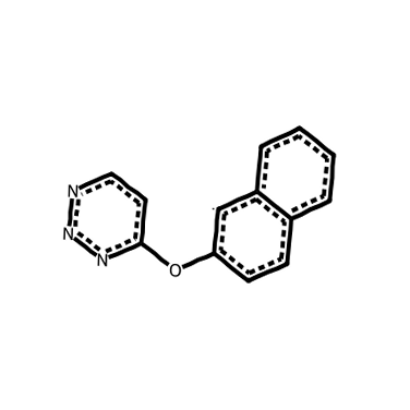 [c]1c(Oc2ccnnn2)ccc2ccccc12